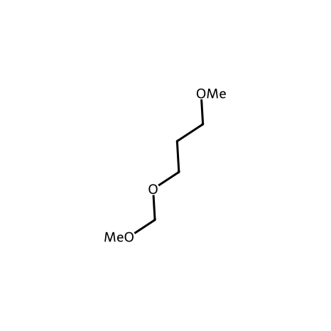 COCCCOCOC